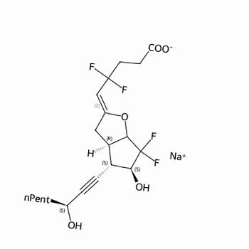 CCCCC[C@H](O)C#C[C@@H]1[C@H]2C/C(=C/C(F)(F)CCC(=O)[O-])OC2C(F)(F)[C@H]1O.[Na+]